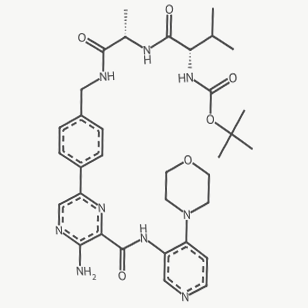 CC(C)[C@H](NC(=O)OC(C)(C)C)C(=O)N[C@@H](C)C(=O)NCc1ccc(-c2cnc(N)c(C(=O)Nc3cnccc3N3CCOCC3)n2)cc1